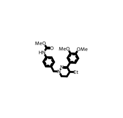 CCC1CCN(Cc2ccc(NC(=O)OC)cc2)N=C1c1ccc(OC)c(OC)c1